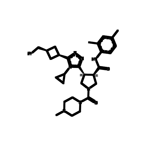 Cc1ccc(NC(=O)[C@H]2CN(C(=O)N3CCN(C)CC3)C[C@@H]2c2nnc([C@H]3C[C@@H](CC(C)C)C3)n2C2CC2)c(C)c1